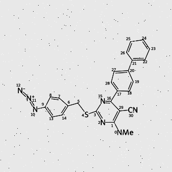 CNc1nc(SCc2ccc(N=[N+]=[N-])cc2)nc(-c2ccc(-c3ccccc3)cc2)c1C#N